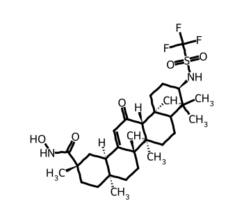 CC1(C)C2CC[C@]3(C)[C@H](C(=O)C=C4[C@@H]5C[C@@](C)(C(=O)NO)CC[C@]5(C)CC[C@]43C)[C@@]2(C)CC[C@H]1NS(=O)(=O)C(F)(F)F